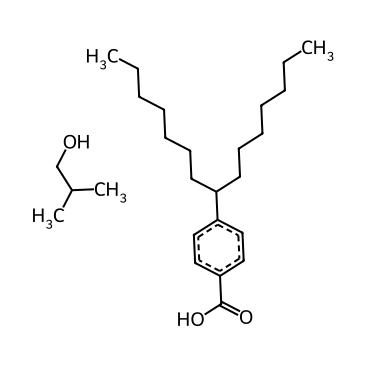 CC(C)CO.CCCCCCCC(CCCCCCC)c1ccc(C(=O)O)cc1